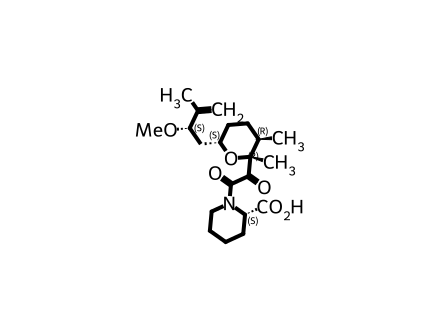 C=C(C)[C@H](C[C@@H]1CC[C@@H](C)[C@](C)(C(=O)C(=O)N2CCCC[C@H]2C(=O)O)O1)OC